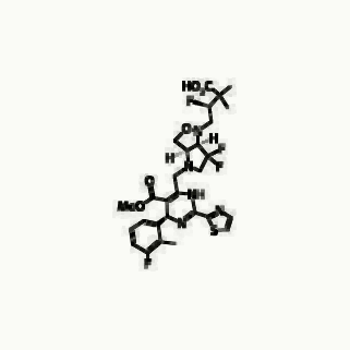 COC(=O)C1=C(CN2CC(F)(F)[C@H]3[C@@H]2CON3C[C@@H](F)C(C)(C)C(=O)O)NC(c2nccs2)=N[C@H]1c1cccc(F)c1C